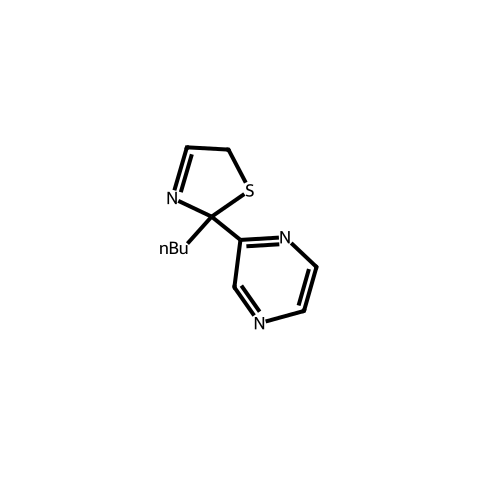 CCCCC1(c2cnccn2)N=CCS1